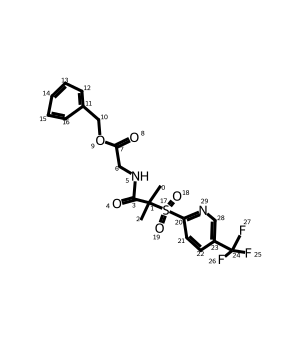 CC(C)(C(=O)NCC(=O)OCc1ccccc1)S(=O)(=O)c1ccc(C(F)(F)F)cn1